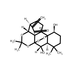 C=C1C(=O)[C@@]23[C@@H]4OC(C)(C)OC25OC[C@@]2([C@H]([C@@H]5O)C(C)(C)CC[C@@H]2O)[C@@H]3CC[C@@H]14